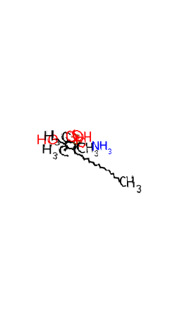 CCCCCCCCCCCCCCCCCCc1c(C)c(CCO)c(C)c(S(=O)(=O)O)c1C.N